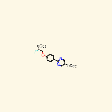 CCCCCCCCCCc1cnc(-c2ccc(OC[C@H](F)CCCCCCCC)cc2)nc1